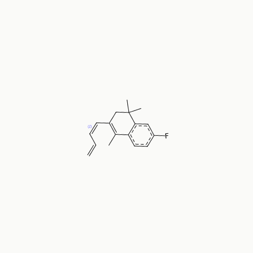 C=C/C=C\C1=C(C)c2ccc(F)cc2C(C)(C)C1